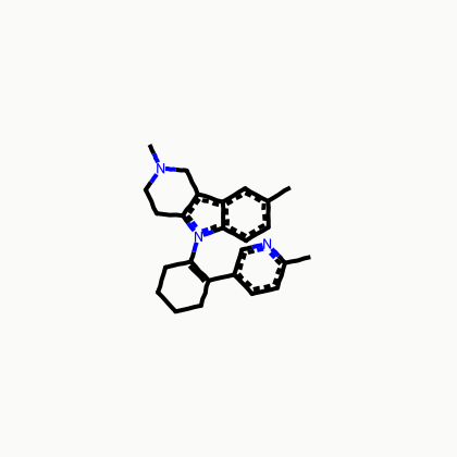 Cc1ccc2c(c1)c1c(n2C2=C(c3ccc(C)nc3)CCCC2)CCN(C)C1